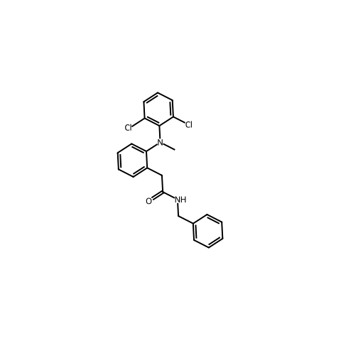 CN(c1ccccc1CC(=O)NCc1ccccc1)c1c(Cl)cccc1Cl